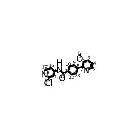 COc1cccnc1-c1ccc(C(=O)Nc2ccnc(Cl)c2)cc1